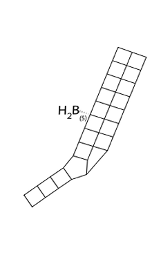 B[C@]12C3C4C5C6C7C8CCC8C7C6C6C5C45C6C4C6C7C8C9C%10CC%11CC%12C%13C%14C1C7(C8%14C9%13C%11%10%12)C62C435